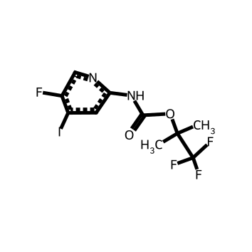 CC(C)(OC(=O)Nc1cc(I)c(F)cn1)C(F)(F)F